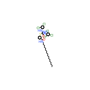 CCCCCCCCCCCCCCCCCCNC(=O)c1cccc(Sc2c(Nc3ccc(Cl)cc3Cl)[nH]n(-c3c(Cl)cc(Cl)cc3Cl)c2=O)c1